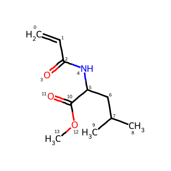 C=CC(=O)NC(CC(C)C)C(=O)OC